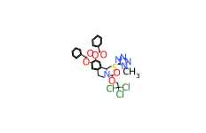 Cn1nnnc1SCC1c2cc(OC(=O)c3ccccc3)c(OC(=O)c3ccccc3)cc2CCN1C(=O)OCC(Cl)(Cl)Cl